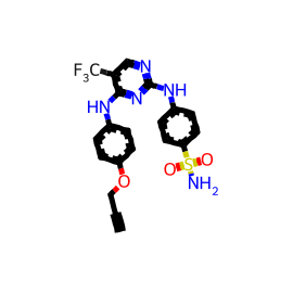 C#CCOc1ccc(Nc2nc(Nc3ccc(S(N)(=O)=O)cc3)ncc2C(F)(F)F)cc1